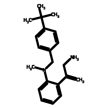 C=C(CN)c1ccccc1N(C)Cc1ccc(C(C)(C)C)cc1